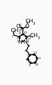 CCc1nn(CCc2ccccc2)c(C)c1C(=O)OC